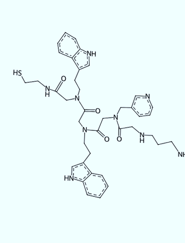 NCCCNCC(=O)N(CC(=O)N(CCc1c[nH]c2ccccc12)CC(=O)N(CCc1c[nH]c2ccccc12)CC(=O)NCCS)Cc1cccnc1